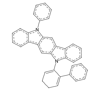 C1=C(c2ccccc2)C(n2c3ccccc3c3cc4c(cc32)c2ccccc2n4-c2ccccc2)=CCC1